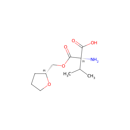 CC(C)[C@](N)(C(=O)O)C(=O)OC[C@H]1CCCO1